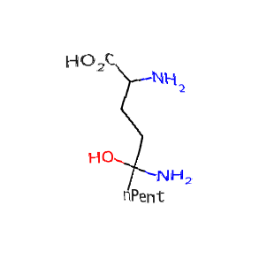 CCCCCC(N)(O)CCC(N)C(=O)O